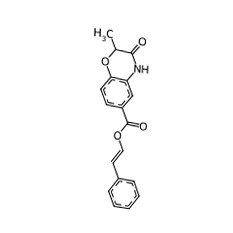 CC1Oc2ccc(C(=O)OC=Cc3ccccc3)cc2NC1=O